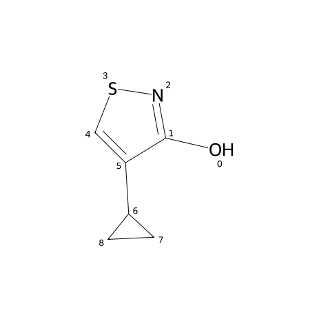 Oc1nscc1C1CC1